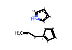 C=CCC1=CC=CC1.c1cc[nH]c1